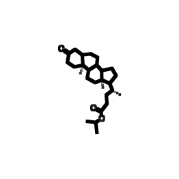 CC(C)OC(=O)CC[C@@H](C)C1CCC2C3CCC4CC(=O)CC[C@]4(C)C3CC[C@@]21C